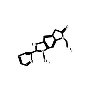 CCN1C(=O)Cc2cc3c(cc21)N(C)C(c1ccccn1)N3